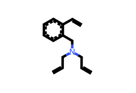 C=CCN(CC=C)Cc1ccccc1C=C